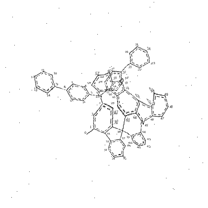 Cc1cc(N(c2ccc(-c3ccccc3)cc2)c2ccc(-c3ccccc3)cc2)cc2c1-c1ccccc1C21c2ccccc2-n2c3ccccc3c3c4oc5ccccc5c4cc1c32